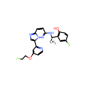 C[C@@H](Nc1ccc2ncc(-c3cc(OCCF)ccn3)n2n1)c1cc(F)ccc1O